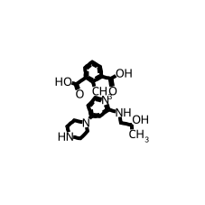 CC(O)CNc1cc(N2CCNCC2)ccn1.Cc1c(C(=O)O)cccc1C(=O)O